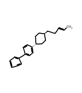 C/C=C/CC[C@H]1CC[C@H](c2ccc(-c3ccccc3)cc2)CC1